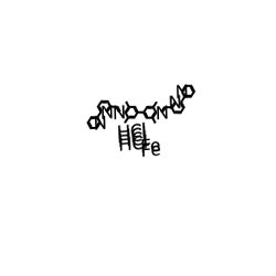 Cc1cc(-c2cc(C)c(N=Cc3cccc(-c4ccccn4)n3)c(C)c2)cc(C)c1N=Cc1cccc(-c2ccccn2)n1.Cl.Cl.Cl.Cl.[Fe].[Fe]